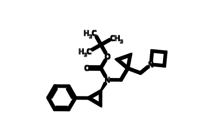 CC(C)(C)OC(=O)N(CC1(CN2CCC2)CC1)[C@H]1CC1c1ccccc1